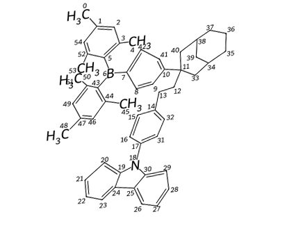 Cc1cc(C)c(B(c2ccc(C3(CCc4ccc(-n5c6ccccc6c6ccccc65)cc4)CC4CCCC(C4)C3)cc2)c2c(C)cc(C)cc2C)c(C)c1